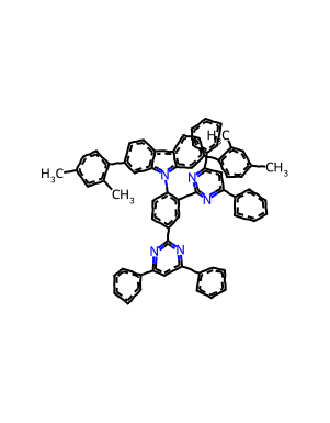 Cc1ccc(-c2ccc3c4ccc(-c5ccc(C)cc5C)cc4n(-c4ccc(-c5nc(-c6ccccc6)cc(-c6ccccc6)n5)cc4-c4nc(-c5ccccc5)cc(-c5ccccc5)n4)c3c2)c(C)c1